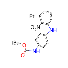 CCc1cccc(Nc2ccc(NC(=O)OC(C)(C)C)cc2)c1[N+](=O)[O-]